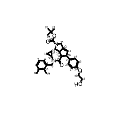 Cc1cccc(CN(C(=O)C2C3CN(C(=O)OC(C)(C)C)CC3=CC2c2ccc(OCCO)cc2)C2CC2)c1C